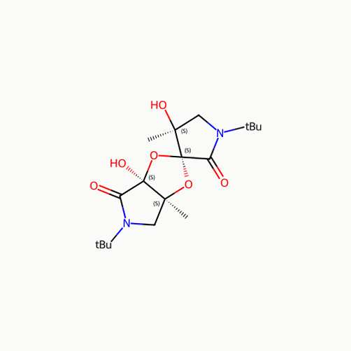 CC(C)(C)N1C[C@](C)(O)[C@@]2(O[C@@]3(C)CN(C(C)(C)C)C(=O)[C@@]3(O)O2)C1=O